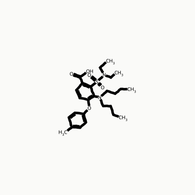 CCCCN(CCCC)c1c(Oc2ccc(C)cc2)ccc(C(=O)O)c1S(=O)(=O)N(CC)CC